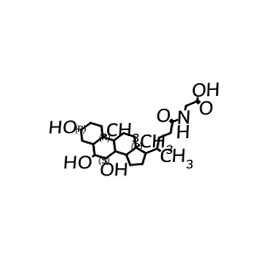 CC(CCC(=O)NCC(=O)O)C1CCC2C3C(CC[C@]12C)[C@@]1(C)CC[C@@H](O)CC1C(O)[C@H]3O